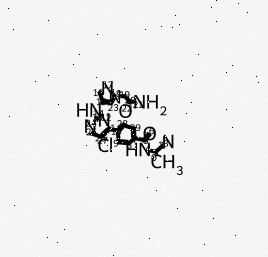 C[C@@H](C#N)NC(=O)c1ccc(-c2nc(Nc3cnn(CC(N)=O)c3)ncc2Cl)cc1